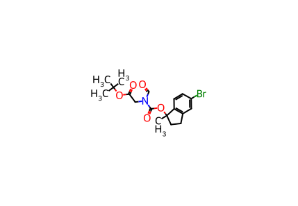 CC(C)(C)OC(=O)CN(C=O)C(=O)OC1(C)CCc2cc(Br)ccc21